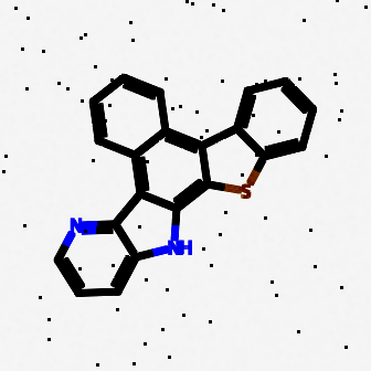 c1cnc2c(c1)[nH]c1c3sc4ccccc4c3c3ccccc3c21